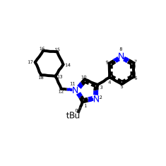 CC(C)(C)c1nc(-c2cccnc2)cn1CC1CCCCC1